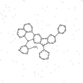 Cc1ccncc1N1c2cc3c(cc2-c2cccc4cccc1c24)c1cc(-c2ccccc2)ccc1n3-c1ccccc1